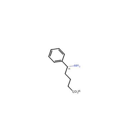 N[C@H](CCCC(=O)O)c1ccccc1